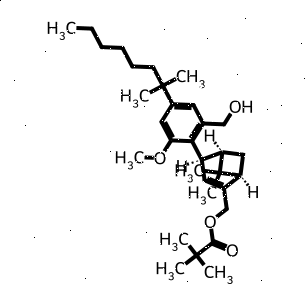 CCCCCCC(C)(C)c1cc(CO)c([C@@H]2C=C(COC(=O)C(C)(C)C)[C@@H]3C[C@H]2C3(C)C)c(OC)c1